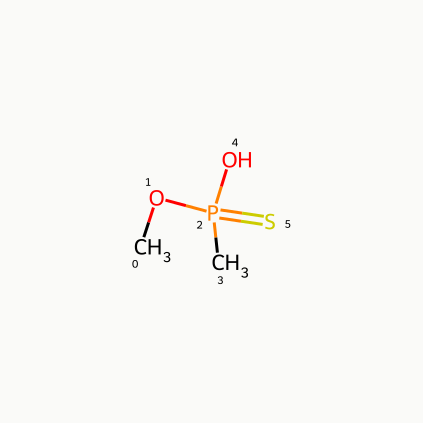 COP(C)(O)=S